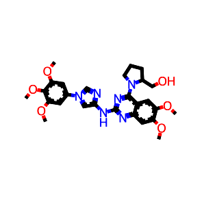 COc1cc2nc(Nc3cn(-c4cc(OC)c(OC)c(OC)c4)cn3)nc(N3CCCC3CO)c2cc1OC